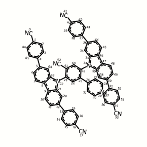 N#Cc1ccc(-c2ccc3c4ccc(-c5ccc(C#N)cc5)cc4n(-c4cc(-c5ccncc5)c(-n5c6cc(-c7ccc(C#N)cc7)ccc6c6ccc(-c7ccc(C#N)cc7)cc65)cc4C#N)c3c2)cc1